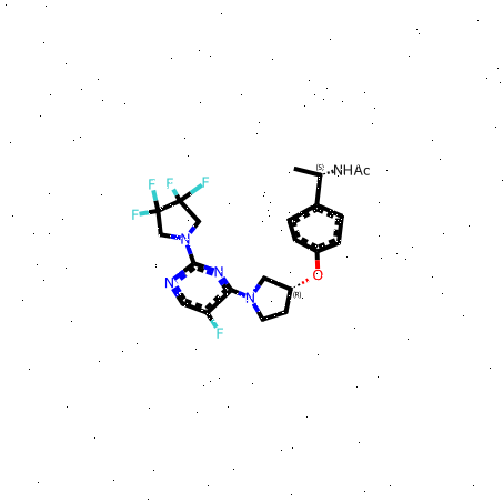 CC(=O)N[C@@H](C)c1ccc(O[C@@H]2CCN(c3nc(N4CC(F)(F)C(F)(F)C4)ncc3F)C2)cc1